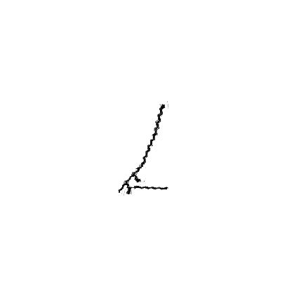 CCCCCCCCCCCCCCCCCCCCCOC(=O)CCN(CCCN(CCCO)CCC(=C=O)OCCCCCCCCCCC)CCC(=O)O